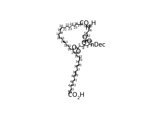 CCCCCCCCCCCCC(CCC(=O)OC(CCCC=CC/C=C\C/C=C\CCCCCCCC(=O)O)CCC/C=C\CC=CCC=CCCCCCCCC(=O)O)OC(=O)OCCCN(C)C